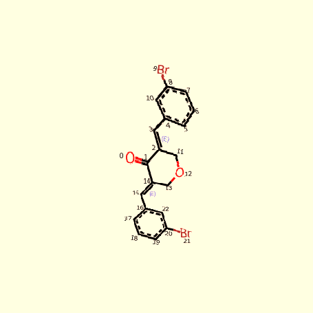 O=C1/C(=C/c2cccc(Br)c2)COC/C1=C\c1cccc(Br)c1